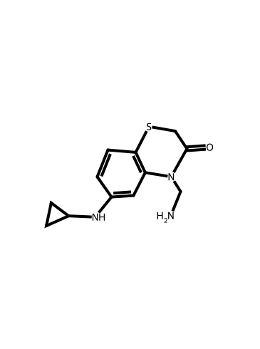 NCN1C(=O)CSc2ccc(NC3CC3)cc21